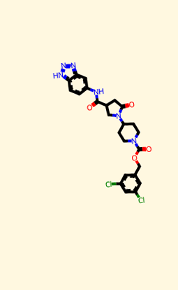 O=C(Nc1ccc2[nH]nnc2c1)C1CC(=O)N(C2CCN(C(=O)OCc3cc(Cl)cc(Cl)c3)CC2)C1